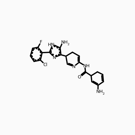 NC1=CC(C(=O)NC2=CCC(c3nc(-c4c(F)cccc4Cl)[nH]c3N)C=N2)CC=C1